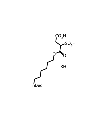 CCCCCCCCCCCCCCCCOC(=O)C(CC(=O)O)S(=O)(=O)O.[KH]